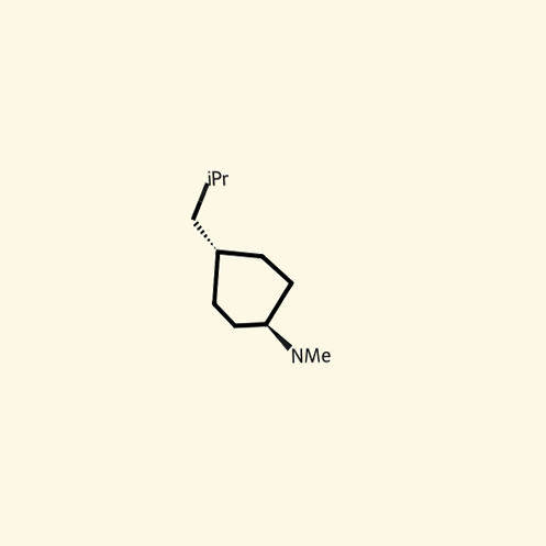 CN[C@H]1CC[C@H](CC(C)C)CC1